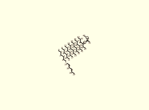 CCCCCC.CCCCCC.CCCCCC.CCCCCC.CCCCCC.CCCCCC.CCCCCC.CCCCCC.COC(C)=O